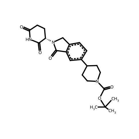 CC(C)(C)OC(=O)N1CCC(c2ccc3c(c2)C(=O)N([C@H]2CCC(=O)NC2=O)C3)CC1